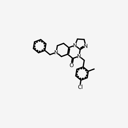 Cc1cc(Cl)ccc1CN1C(=O)C2=C(CCN(Cc3ccccc3)C2)N2CCN=C12